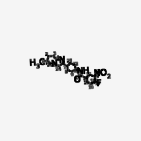 Cc1ccc2nc(-c3ccc(NC(=O)c4ccc([18F])c([N+](=O)[O-])c4)cc3)cn2c1